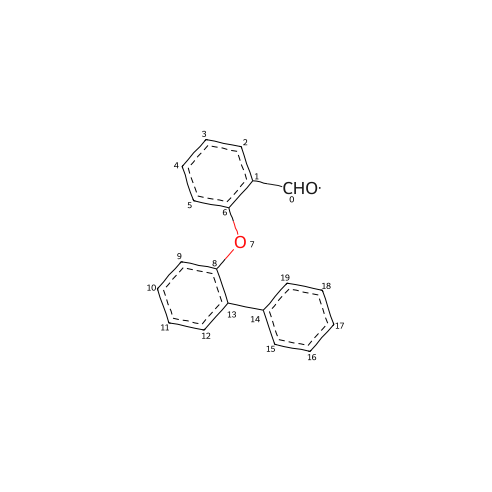 O=[C]c1ccccc1Oc1ccccc1-c1ccccc1